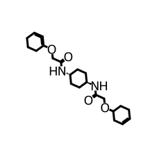 O=C(COC1=C=CCCC1)N[C@H]1CC[C@H](NC(=O)COC2CC=CCC2)CC1